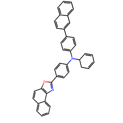 C1=CCC(N(c2ccc(-c3ccc4ccccc4c3)cc2)c2ccc(-c3nc4c(ccc5ccccc54)o3)cc2)C=C1